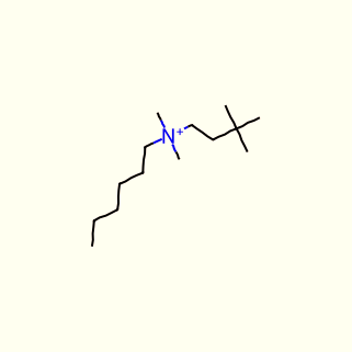 CCCCCC[N+](C)(C)CCC(C)(C)C